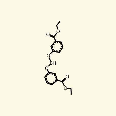 CCOC(=O)c1cccc(OBOc2cccc(C(=O)OCC)c2)c1